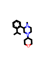 CC(C)c1ccccc1C1CN(C2CCOCC2)CCN1C